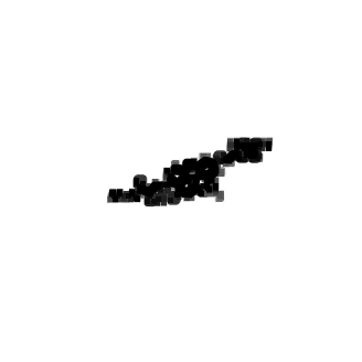 CNC(=O)C(O)COc1ncc(Cl)c2c1c(=O)cc(C)n2-c1c(Cl)cc(OCCOP(=O)(O)O)cc1Cl